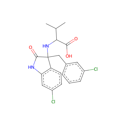 CC(C)C(NC1(Cc2cccc(Cl)c2)C(=O)Nc2cc(Cl)ccc21)C(=O)O